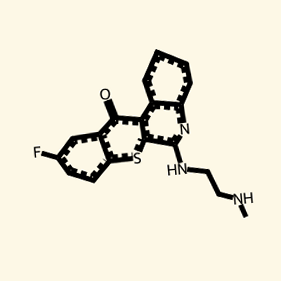 CNCCNc1nc2ccccc2c2c(=O)c3cc(F)ccc3sc12